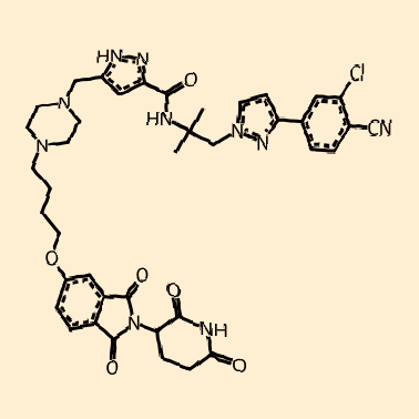 CC(C)(Cn1ccc(-c2ccc(C#N)c(Cl)c2)n1)NC(=O)c1cc(CN2CCN(CCCCOc3ccc4c(c3)C(=O)N(C3CCC(=O)NC3=O)C4=O)CC2)[nH]n1